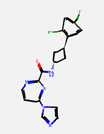 O=C(N[C@H]1C[C@H](c2ccc(F)cc2F)C1)c1nccc(-n2ccnc2)n1